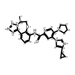 C[C@H]1COc2c(NC(=O)c3cc(-n4cnc(C5CC5)c4)c(N4CCCC4)cn3)cccc2-c2nnnn21